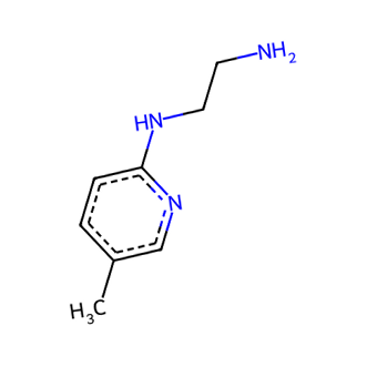 Cc1ccc(NCCN)nc1